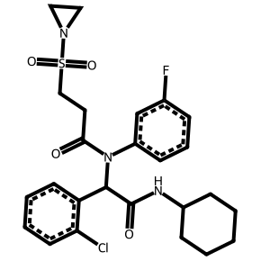 O=C(NC1CCCCC1)C(c1ccccc1Cl)N(C(=O)CCS(=O)(=O)N1CC1)c1cccc(F)c1